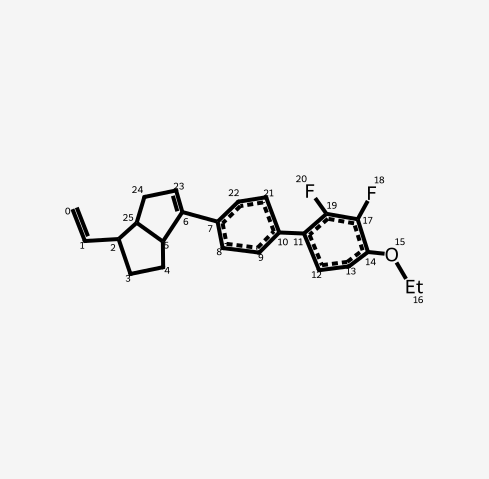 C=CC1CCC2C(c3ccc(-c4ccc(OCC)c(F)c4F)cc3)=CCC12